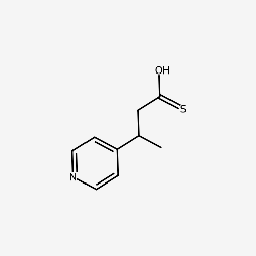 CC(CC(O)=S)c1ccncc1